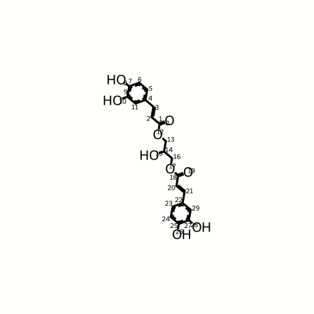 O=C(C=Cc1ccc(O)c(O)c1)OCC(O)COC(=O)C=Cc1ccc(O)c(O)c1